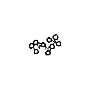 c1ccc(-c2ccccc2-n2c3ccccc3c3ccc(-n4c5ccccc5c5ccc([Si](c6ccccc6)(c6ccccc6)c6ccccc6)cc54)cc32)cc1